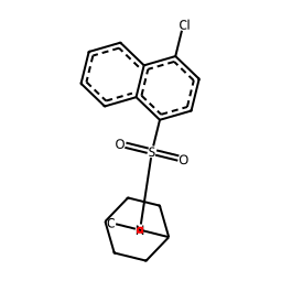 O=S(=O)(c1ccc(Cl)c2ccccc12)N1CC2CCC(CC2)C1